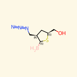 B[C@@H]1S[C@H](CO)C[C@@H]1CN=[N+]=[N-]